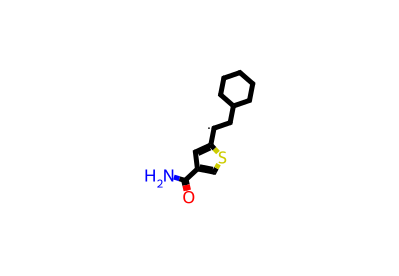 NC(=O)c1csc([CH]CC2CCCCC2)c1